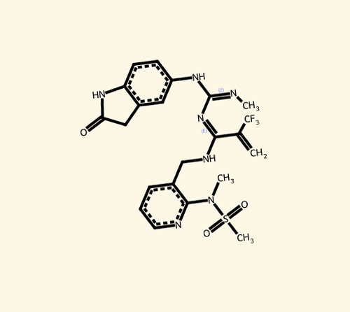 C=C(/C(=N\C(=N/C)Nc1ccc2c(c1)CC(=O)N2)NCc1cccnc1N(C)S(C)(=O)=O)C(F)(F)F